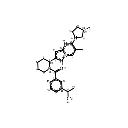 Cc1cn2nc([C@@H]3CCCCN3C(=O)c3cccc(C(C)C#N)c3)cc2nc1N1CC[C@H](C)C1